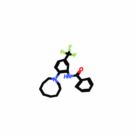 O=C(Nc1cc(C(F)(F)F)ccc1N1CCCCCCCC1)c1ccccc1